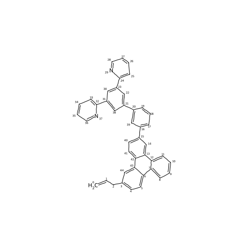 C=CCc1ccc2c3ccccc3c3cc(-c4cccc(-c5cc(-c6ccccn6)cc(-c6ccccn6)c5)c4)ccc3c2c1